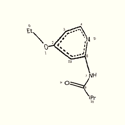 CCOc1ccnc(NC(=O)C(C)C)c1